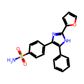 NS(=O)(=O)c1ccc(-c2nc(-c3ccco3)[nH]c2-c2ccccc2)cc1